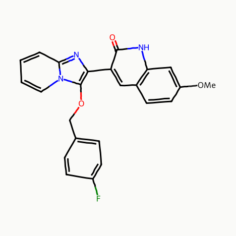 COc1ccc2cc(-c3nc4ccccn4c3OCc3ccc(F)cc3)c(=O)[nH]c2c1